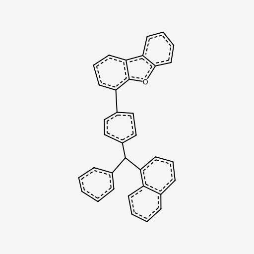 c1ccc(C(c2ccc(-c3cccc4c3oc3ccccc34)cc2)c2cccc3ccccc23)cc1